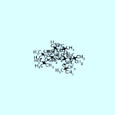 CC(C)(C)O[SiH2]C([SiH2]OC(C)(C)C)([SiH2]OC(C)(C)C)SSSC([SiH2]OC(C)(C)C)([SiH2]OC(C)(C)C)[SiH2]OC(C)(C)C